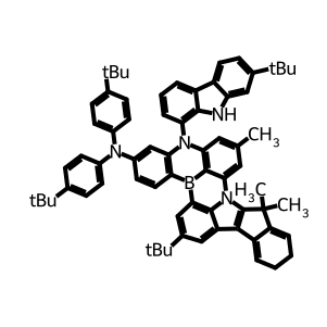 Cc1cc2c3c(c1)-n1c4c(c5cc(C(C)(C)C)cc(c51)B3c1ccc(N(c3ccc(C(C)(C)C)cc3)c3ccc(C(C)(C)C)cc3)cc1N2c1cccc2c1[nH]c1cc(C(C)(C)C)ccc12)C1=CCCC=C1C4(C)C